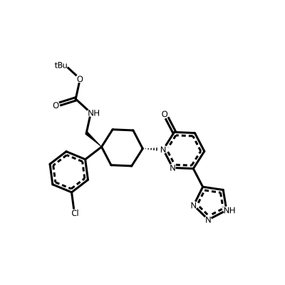 CC(C)(C)OC(=O)NC[C@]1(c2cccc(Cl)c2)CC[C@@H](n2nc(-c3c[nH]nn3)ccc2=O)CC1